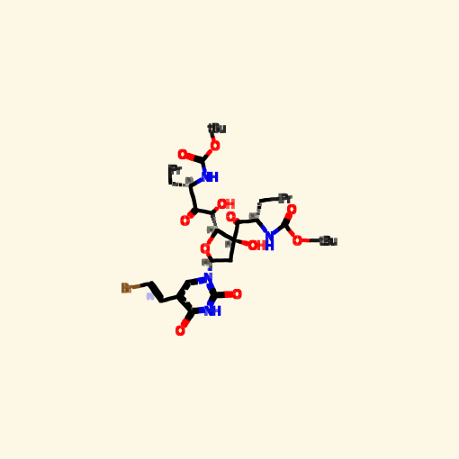 CC(C)C[C@H](NC(=O)OC(C)(C)C)C(=O)C(O)[C@H]1O[C@@H](n2cc(/C=C/Br)c(=O)[nH]c2=O)C[C@@]1(O)C(=O)[C@H](CC(C)C)NC(=O)OC(C)(C)C